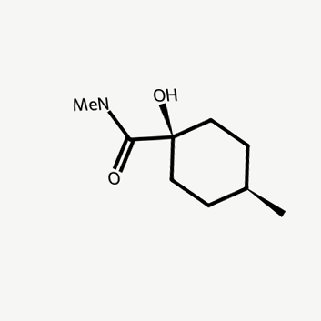 CNC(=O)[C@]1(O)CC[C@@H](C)CC1